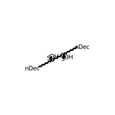 CCCCCCCCCCCCCCCCCCN(CCCCCCN(CCCCCCCCCCCCCCCCCC)C(O)=S)C(O)=S